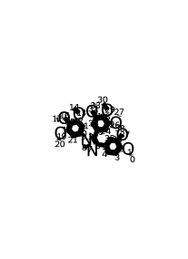 COc1ccc(-c2ncn(-c3cc(OC)c(OC)c(OC)c3)c2-c2cc(OC)c(OC)c(OC)c2)cc1OC